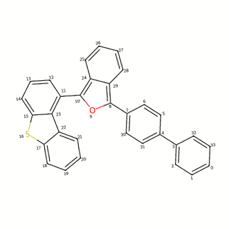 c1ccc(-c2ccc(-c3oc(-c4cccc5sc6ccccc6c45)c4ccccc34)cc2)cc1